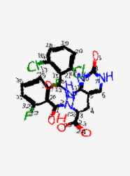 O=C(N[C@@H](Cc1c[nH]c(=O)nc1NC(=O)c1c(Cl)cccc1Cl)C(=O)O)c1c(F)cccc1F